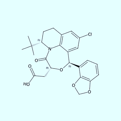 CC(C)(C)[C@@H]1CCc2cc(Cl)cc3c2N1C(=O)[C@@H](CC(=O)O)O[C@@H]3c1cccc2c1OCO2